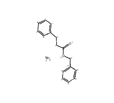 N.O=C(CCc1ccccc1)OCc1ccccc1